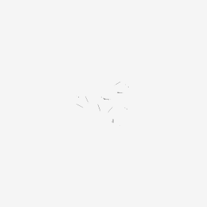 Cn1ccc(-c2cc(N)c(C#N)c(-c3ccn(C)c3)n2)c1